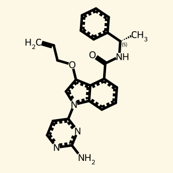 C=CCOc1cn(-c2ccnc(N)n2)c2cccc(C(=O)N[C@@H](C)c3ccccc3)c12